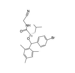 Cc1cc(C)c(C(O[C@@H](CC(C)C)C(=O)NCC#N)c2ccc(Br)cc2)c(C)c1